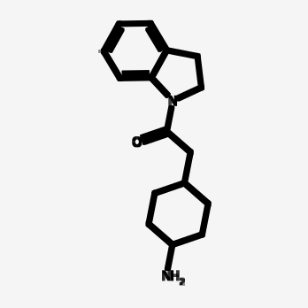 NC1CCC(CC(=O)N2CCc3cc[c]cc32)CC1